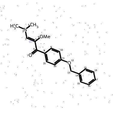 CO/C(=C\N(C)C)C(=O)c1ccc(OCc2ccccc2)cc1